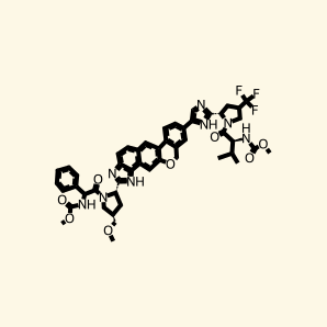 COC[C@H]1C[C@@H](c2nc3ccc4cc5c(cc4c3[nH]2)OCc2cc(-c3cnc([C@@H]4CC(C(F)(F)F)CN4C(=O)[C@@H](NC(=O)OC)C(C)C)[nH]3)ccc2-5)N(C(=O)C(NC(=O)OC)c2ccccc2)C1